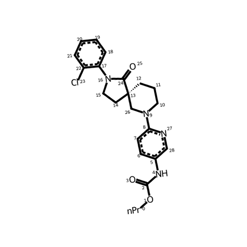 CCCOC(=O)Nc1ccc(N2CCC[C@@]3(CCN(c4ccccc4Cl)C3=O)C2)nc1